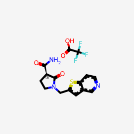 NC(=O)[C@@H]1CCN(Cc2cc3cnccc3s2)C1=O.O=C(O)C(F)(F)F